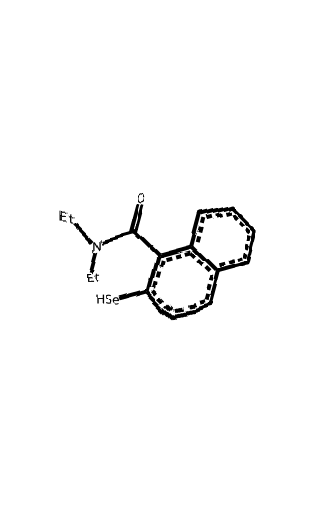 CCN(CC)C(=O)c1c([SeH])ccc2ccccc12